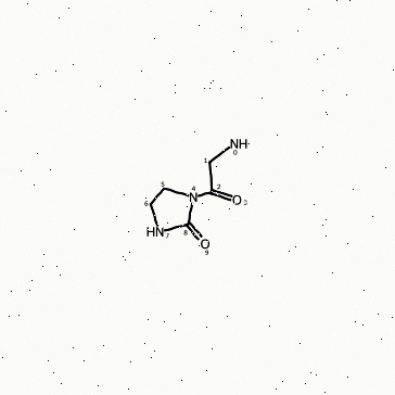 [NH]CC(=O)N1CCNC1=O